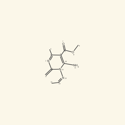 C=C1N=C(C)C(C(=O)OC)=C(N)N1/N=C\C